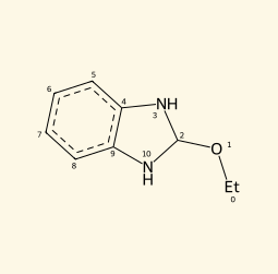 CCOC1Nc2ccccc2N1